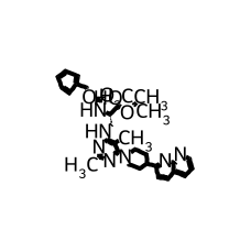 Cc1nc(NC[C@H](NC(=O)OCc2ccccc2)C(O)OC(C)(C)C)c(C)c(N2CCC(c3ccc4cccnc4n3)CC2)n1